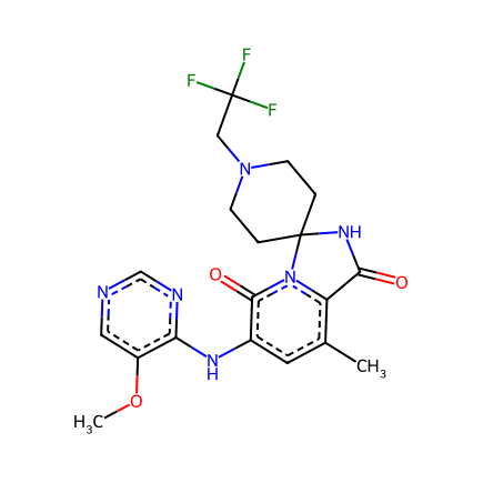 COc1cncnc1Nc1cc(C)c2n(c1=O)C1(CCN(CC(F)(F)F)CC1)NC2=O